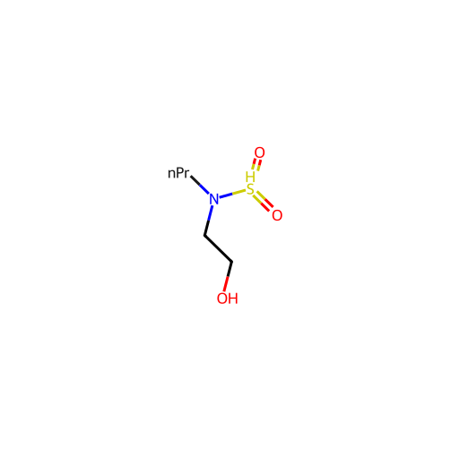 CCCN(CCO)[SH](=O)=O